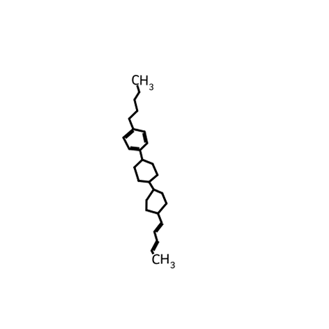 CC=CC=CC1CCC(C2CCC(c3ccc(CCCCC)cc3)CC2)CC1